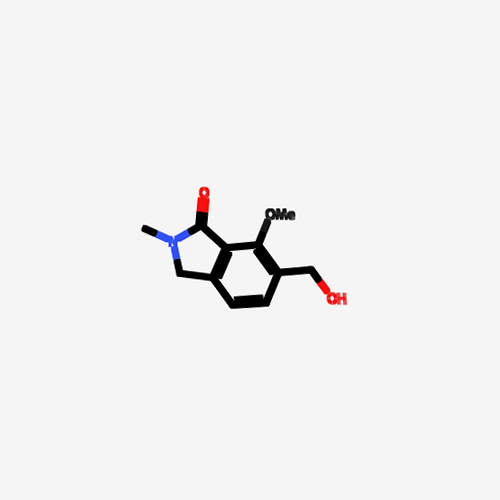 COc1c(CO)ccc2c1C(=O)N(C)C2